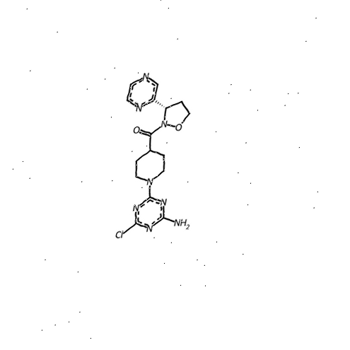 Nc1nc(Cl)nc(N2CCC(C(=O)N3OCC[C@H]3c3cnccn3)CC2)n1